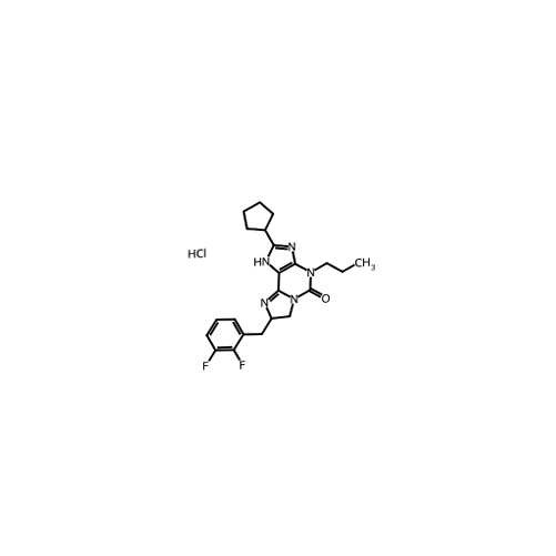 CCCN1C(=O)N2CC(Cc3cccc(F)c3F)N=C2c2[nH]c(C3CCCC3)nc21.Cl